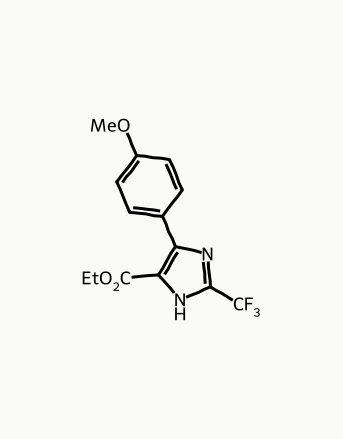 CCOC(=O)c1[nH]c(C(F)(F)F)nc1-c1ccc(OC)cc1